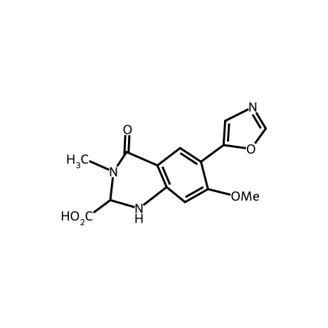 COc1cc2c(cc1-c1cnco1)C(=O)N(C)C(C(=O)O)N2